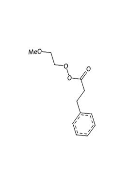 COCCOOC(=O)CCc1ccccc1